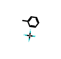 Cc1ccccc1.F[B-](F)(F)F